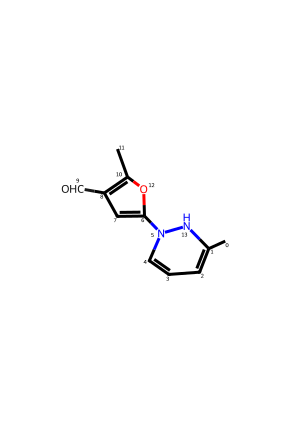 CC1=CC=CN(c2cc(C=O)c(C)o2)N1